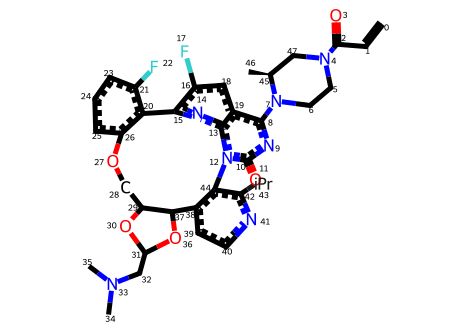 C=CC(=O)N1CCN(c2nc(=O)n3c4nc(c(F)cc24)-c2c(F)cccc2OCC2OC(CN(C)C)OC2c2ccnc(C(C)C)c2-3)[C@@H](C)C1